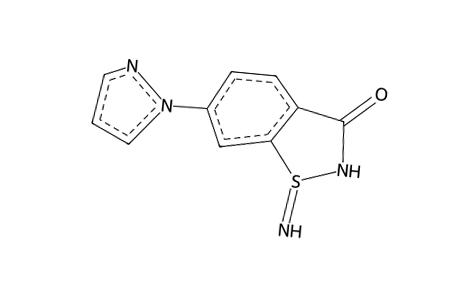 N=S1NC(=O)c2ccc(-n3cccn3)cc21